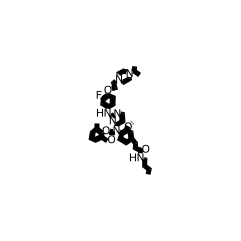 CCCCNC(=O)CCc1ccc(N(C(=O)Oc2c(C)cccc2C)c2ccnc(Nc3ccc(OCCN4CCN(C(C)C)CC4)c(F)c3)n2)c(OC)c1